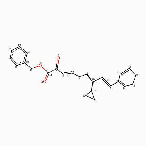 O=C(/C=C/CC[C@@H](/C=C/C1=CCCC=C1)C1CC1)C(=O)OCc1ccccc1